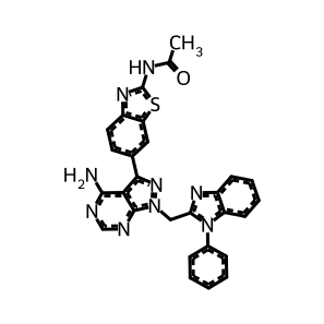 CC(=O)Nc1nc2ccc(-c3nn(Cc4nc5ccccc5n4-c4ccccc4)c4ncnc(N)c34)cc2s1